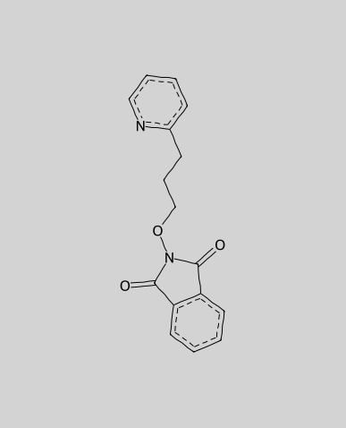 O=C1c2ccccc2C(=O)N1OCCCc1ccccn1